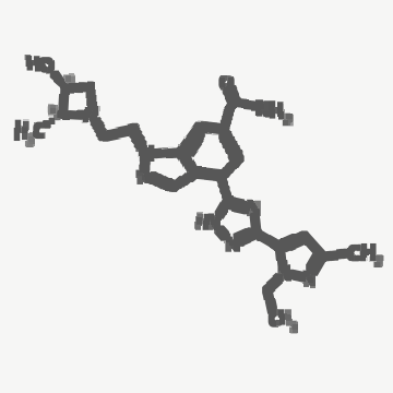 CCn1nc(C)cc1-c1n[nH]c(-c2cc(C(N)=O)cc3c2cnn3CCN2C[C@H](O)[C@H]2C)n1